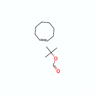 C1=CCCCCCC1.CC(C)(C)OC=O